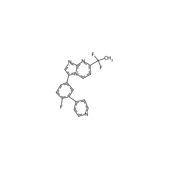 CC(F)(F)c1ccn2c(-c3ccc(F)c(-c4ccncc4)c3)cnc2n1